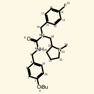 CC(C)COc1ccc(CNC(=O)N(Cc2ccc(F)cc2)CC2CCCN2C)cc1